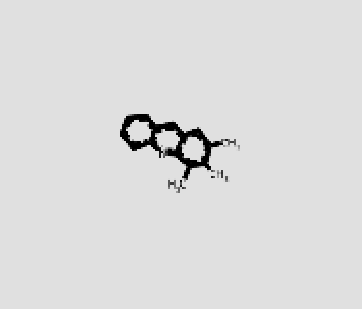 Cc1cc2cc3ccccc3nc2c(C)c1C